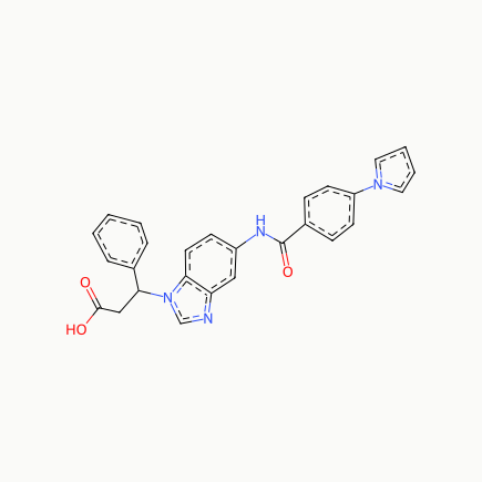 O=C(O)CC(c1ccccc1)n1cnc2cc(NC(=O)c3ccc(-n4cccc4)cc3)ccc21